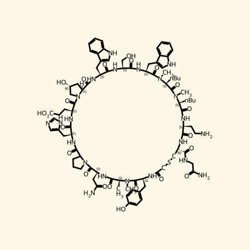 CCCC[C@H]1C(=O)N(C)[C@@H](CCCC)C(=O)N[C@@H](CCN)C(=O)N[C@H](C(=O)NCC(N)=O)CSCC(=O)N[C@@H](Cc2ccc(O)cc2)C(=O)N(C)[C@@H](C)C(=O)N[C@@H](CC(N)=O)C(=O)N2CCCC2C(=O)N[C@@H](Cc2cnc[nH]2)C(=O)N[C@@H](CCC(=O)O)C(=O)N2C[C@H](O)C[C@H]2C(=O)N[C@@H](Cc2c[nH]c3ccccc23)C(=O)N[C@@H](CO)C(=O)N[C@@H](Cc2c[nH]c3ccccc23)C(=O)N1C